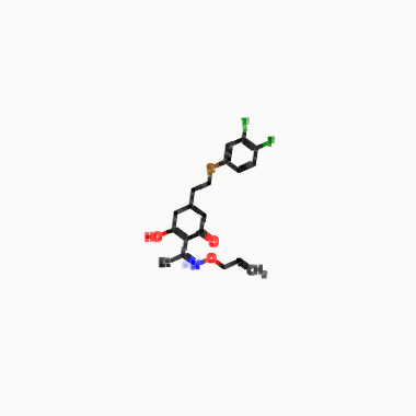 C=CCO/N=C(/CC)C1=C(O)CC(CCSc2ccc(F)c(F)c2)CC1=O